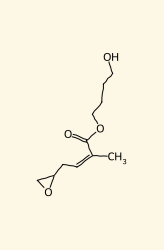 CC(=CCC1CO1)C(=O)OCCCCO